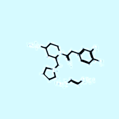 O=C(O)C1CCN(C(=O)Cc2ccc(Cl)c(Cl)c2)C(CN2CCCC2)C1.O=C(O)C=CC(=O)O